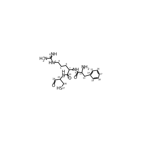 N=C(N)NCCCC(NC(=O)C(N)Cc1ccccc1)C(=O)NC([C]=O)CS